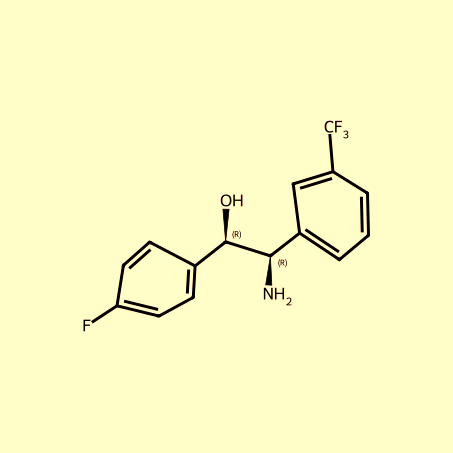 N[C@H](c1cccc(C(F)(F)F)c1)[C@H](O)c1ccc(F)cc1